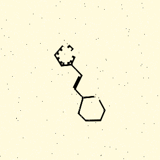 C(=CC1CCCCN1)c1ccno1